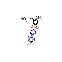 Cc1ccc(S(=O)(=O)N2CCN(c3ncc(Cl)cn3)CC2)cc1CC(=O)O